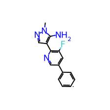 Cn1ncc(-c2ncc(-c3cc[c]cc3)cc2F)c1N